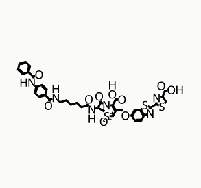 O=C(CCCCCNC(=O)c1ccc(NC(=O)c2ccccc2)cc1)NC1C(=O)N2C(C(=O)O)=C(COc3ccc4nc(C5=NC(C(=O)O)CS5)sc4c3)C[S+]([O-])C12